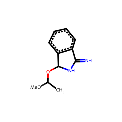 COC(C)OC1NC(=N)c2ccccc21